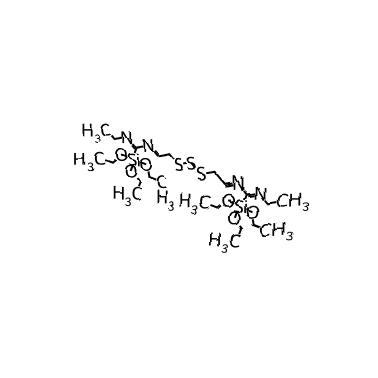 CCN=C(N=CCSSSCC=NC(=NCC)[Si](OCC)(OCC)OCC)[Si](OCC)(OCC)OCC